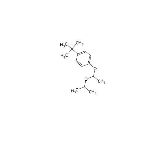 CC(C)OC(C)Oc1ccc(C(C)(C)C)cc1